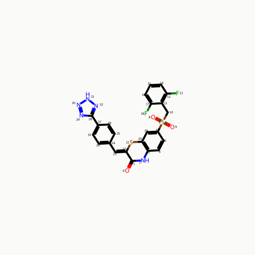 O=C1Nc2ccc(S(=O)(=O)Cc3c(F)cccc3F)cc2SC1=Cc1ccc(-c2nn[nH]n2)cc1